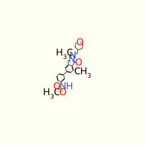 Cc1cc(-c2cccc(NS(C)(=O)=O)c2)cc2c1C(=O)N(N(C)CC1CCOCC1)C2